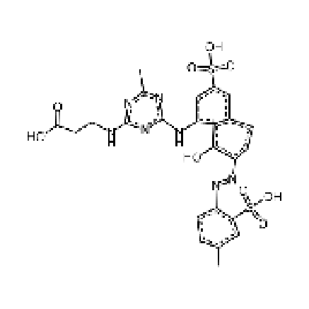 Cc1ccc(N=Nc2ccc3cc(S(=O)(=O)O)cc(Nc4nc(C)nc(NCCC(=O)O)n4)c3c2O)c(S(=O)(=O)O)c1